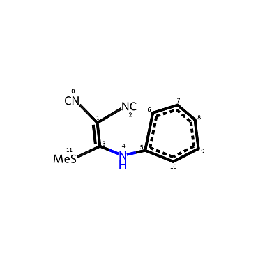 [C-]#[N+]C([N+]#[C-])=C(Nc1ccccc1)SC